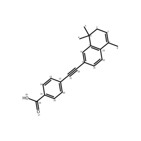 CC1=CCC(C)(C)c2cc(C#Cc3ccc(C(=O)O)cc3)ccc21